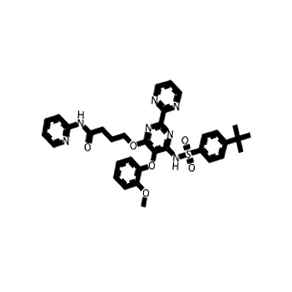 COc1ccccc1Oc1c(NS(=O)(=O)c2ccc(C(C)(C)C)cc2)nc(-c2ncccn2)nc1OCCCC(=O)Nc1ccccn1